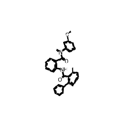 COc1cccc(N(C)C(=O)c2ccccc2NC(=O)c2c(C)cccc2-c2ccccc2)c1